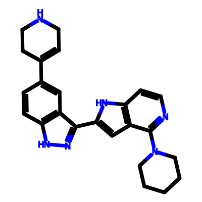 C1=C(c2ccc3[nH]nc(-c4cc5c(N6CCCCC6)nccc5[nH]4)c3c2)CCNC1